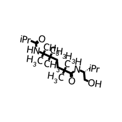 CC(C)C(=O)NC(C)(C)C(C)(C)CCC(C)(C)C(=O)N[C@@H](CO)C(C)C